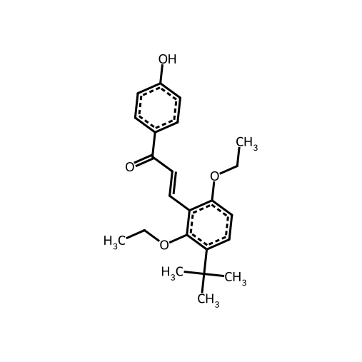 CCOc1ccc(C(C)(C)C)c(OCC)c1C=CC(=O)c1ccc(O)cc1